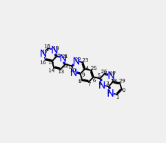 c1cnc2nc(-c3ccc4nc(-c5ccc6cncnc6n5)ncc4c3)cnc2c1